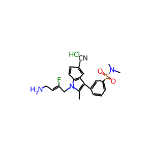 Cc1c(-c2cccc(S(=O)(=O)N(C)C)c2)c2cc(C#N)ccc2n1CC(F)=CCN.Cl